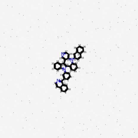 c1cc(-c2nccc3ccccc23)cc(-n2c3c(c4ccccc42)-c2cnccc2N(c2ccc4ccccc4c2)c2ccccc2-3)c1